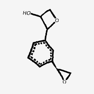 OC1COC1c1cccc([C@H]2CO2)c1